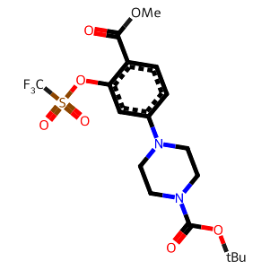 COC(=O)c1ccc(N2CCN(C(=O)OC(C)(C)C)CC2)cc1OS(=O)(=O)C(F)(F)F